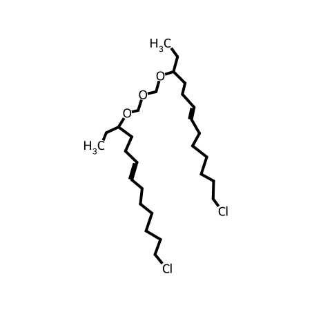 CCC(CCC=CCCCCCCCl)OCOCOC(CC)CCC=CCCCCCCCl